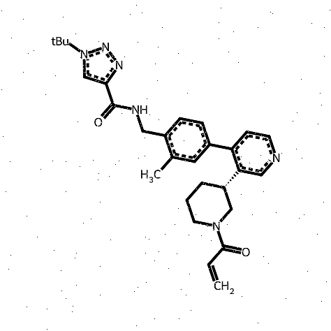 C=CC(=O)N1CCC[C@H](c2cnccc2-c2ccc(CNC(=O)c3cn(C(C)(C)C)nn3)c(C)c2)C1